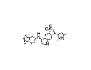 Cc1cc(C2=CS(=O)(=O)c3cc4c(Nc5ccc6scnc6c5)ccnc4cc32)n(C)n1